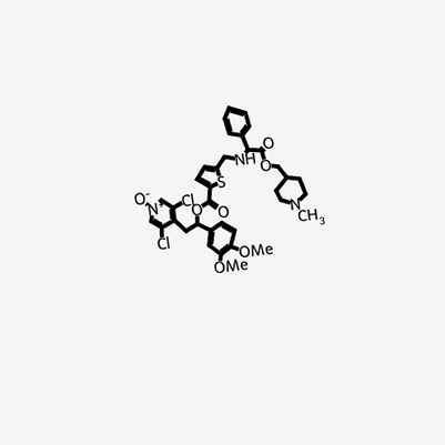 COc1ccc(C(Cc2c(Cl)c[n+]([O-])cc2Cl)OC(=O)c2ccc(CNC(C(=O)OCC3CCN(C)CC3)c3ccccc3)s2)cc1OC